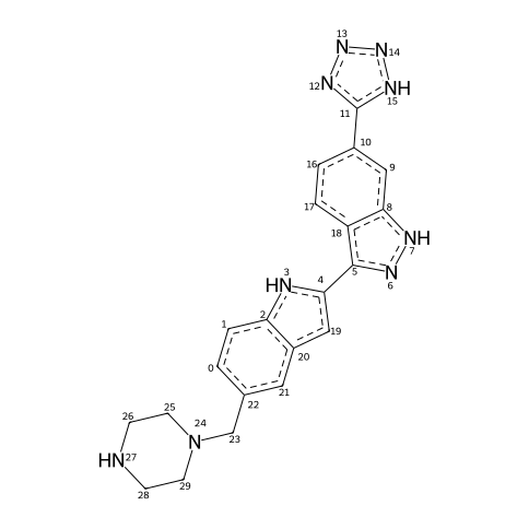 c1cc2[nH]c(-c3n[nH]c4cc(-c5nnn[nH]5)ccc34)cc2cc1CN1CCNCC1